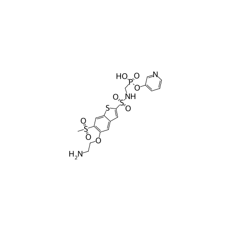 CS(=O)(=O)c1cc2sc(S(=O)(=O)NCP(=O)(O)Oc3cccnc3)cc2cc1OCCN